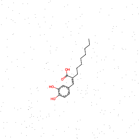 CCCCCCCC/C(=C/c1ccc(O)c(O)c1)C(=O)O